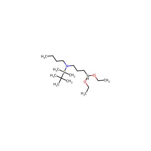 CCCCN(CCC[SiH](OCC)OCC)[Si](C)(C)C(C)(C)C